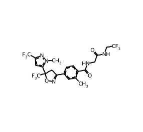 Cc1cc(C2=NOC(c3cc(C(F)(F)F)nn3C)(C(F)(F)F)C2)ccc1C(=O)NCC(=O)NCC(F)(F)F